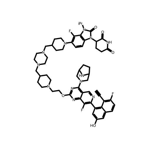 C#Cc1c(F)ccc2cc(O)cc(-c3ncc4c(N5CC6CCC(C5)N6)nc(OCCN5CCC(CN6CCN(CC7CCN(c8ccc9c(c8F)n(C(C)C)c(=O)n9C8CCC(=O)NC8=O)CC7)CC6)CC5)nc4c3F)c12